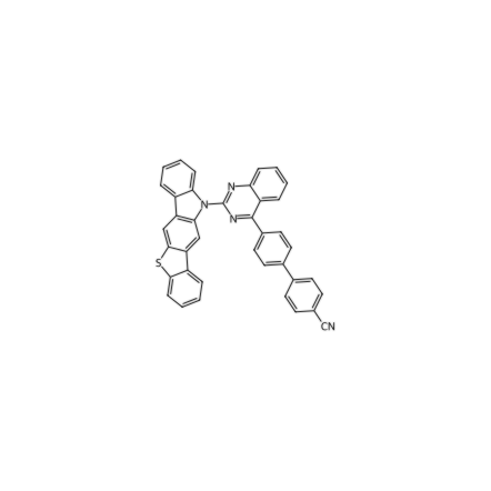 N#Cc1ccc(-c2ccc(-c3nc(-n4c5ccccc5c5cc6sc7ccccc7c6cc54)nc4ccccc34)cc2)cc1